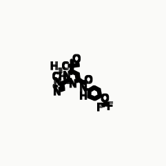 Cn1cncc1-c1nc(C(=O)N[C@H]2CC[C@H](OC(F)F)CC2)cc(C2(C)COC2)n1